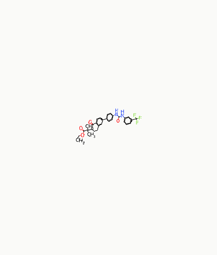 CCOC(=O)C(C)(C)C1CCc2cc(-c3ccc(NC(=O)Nc4cccc(C(F)(F)F)c4)cc3)ccc2C1=O